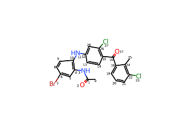 CC(=O)Nc1cc(Br)ccc1Nc1ccc(C(=O)c2cccc(Cl)c2C)c(Cl)c1